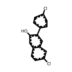 Oc1cc2ccc(Cl)cc2cc1-c1ccc(Cl)cc1